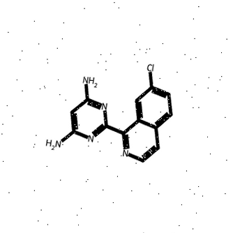 Nc1cc(N)nc(-c2nccc3ccc(Cl)cc23)n1